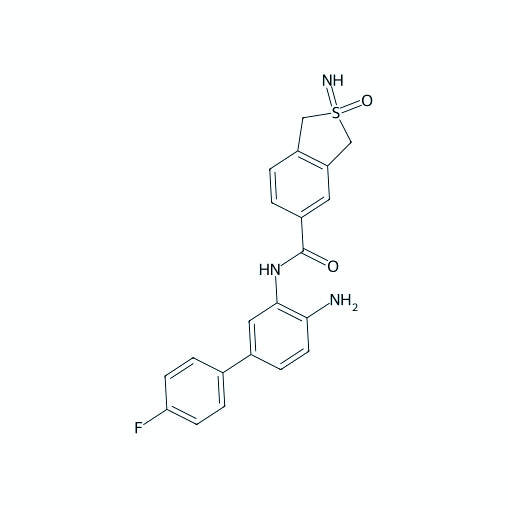 N=S1(=O)Cc2ccc(C(=O)Nc3cc(-c4ccc(F)cc4)ccc3N)cc2C1